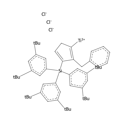 CC(C)(C)c1cc(C(C)(C)C)cc([Si](C2=CC[C]([Ti+3])=C2Cc2ccccc2)(c2cc(C(C)(C)C)cc(C(C)(C)C)c2)c2cc(C(C)(C)C)cc(C(C)(C)C)c2)c1.[Cl-].[Cl-].[Cl-]